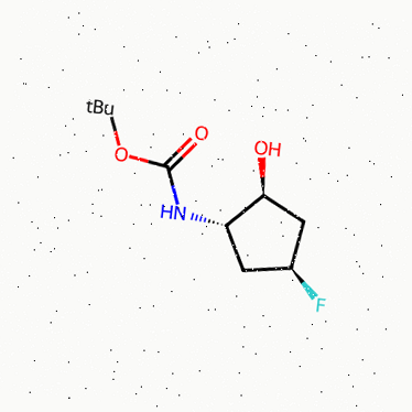 CC(C)(C)OC(=O)N[C@H]1C[C@H](F)C[C@@H]1O